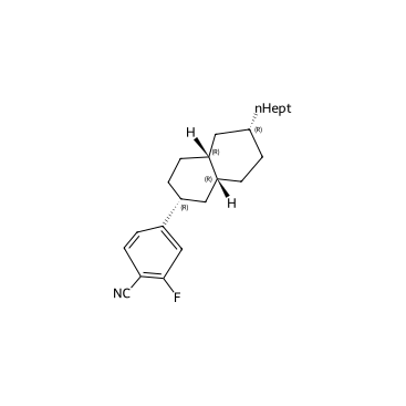 CCCCCCC[C@@H]1CC[C@@H]2C[C@H](c3ccc(C#N)c(F)c3)CC[C@@H]2C1